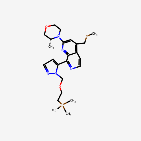 CSCc1cc(N2CCOC[C@H]2C)nc2c(-c3ccnn3COCCS(C)(C)C)nccc12